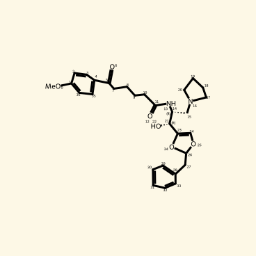 COc1ccc(C(=O)CCCCC(=O)N[C@H](CN2CCCC2)[C@@H](O)C2=COC(Cc3ccccc3)O2)cc1